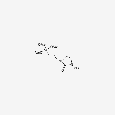 CCCCN1CCN(CCC[Si](OC)(OC)OC)C1=O